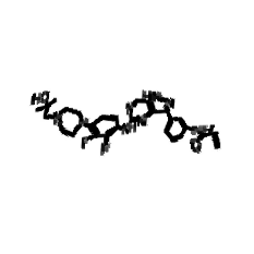 C=CC(=O)Nc1cccc(-c2n[nH]c3cnc(Nc4ccc(N5CCN(CC(C)(C)O)CC5)c(F)c4F)nc23)c1